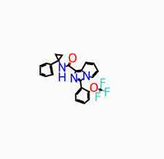 O=C(NC1(c2ccccc2)CC1)c1nc(-c2ccccc2OC(F)(F)F)n2ccccc12